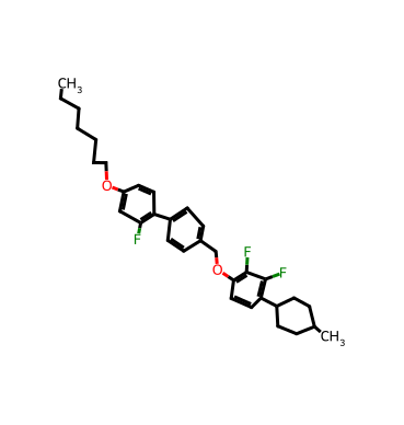 CCCCCCCOc1ccc(-c2ccc(COc3ccc(C4CCC(C)CC4)c(F)c3F)cc2)c(F)c1